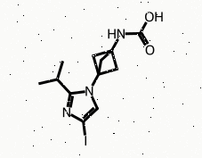 CC(C)c1nc(I)cn1C12CC(NC(=O)O)(C1)C2